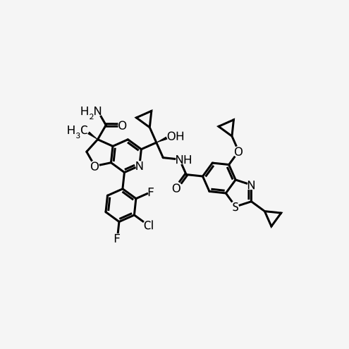 C[C@]1(C(N)=O)COc2c1cc([C@@](O)(CNC(=O)c1cc(OC3CC3)c3nc(C4CC4)sc3c1)C1CC1)nc2-c1ccc(F)c(Cl)c1F